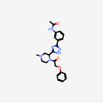 CC(=O)Nc1cccc(-c2n[nH]c(C3CN(C)CCN3C(=O)COc3ccccc3)n2)c1